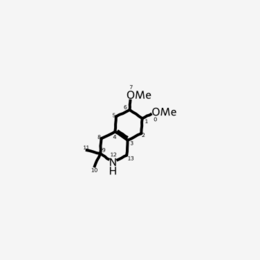 COC1CC2=C(CC1OC)CC(C)(C)NC2